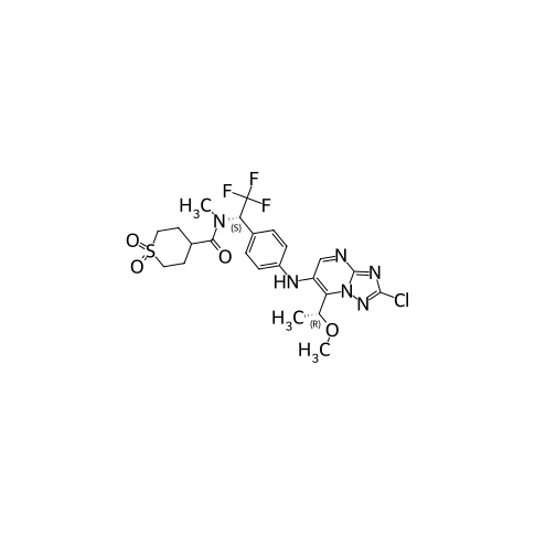 CO[C@H](C)c1c(Nc2ccc([C@H](N(C)C(=O)C3CCS(=O)(=O)CC3)C(F)(F)F)cc2)cnc2nc(Cl)nn12